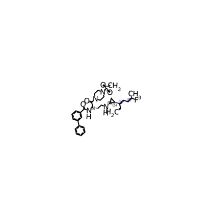 C=C/C(=C\C=C(/C)F)[C@@H]1C[C@H]1NCC[C@H](NC(=O)c1cccc(-c2ccccc2)c1)C(=O)N1CCN(S(C)(=O)=O)CC1